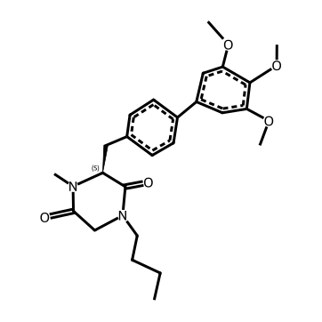 CCCCN1CC(=O)N(C)[C@@H](Cc2ccc(-c3cc(OC)c(OC)c(OC)c3)cc2)C1=O